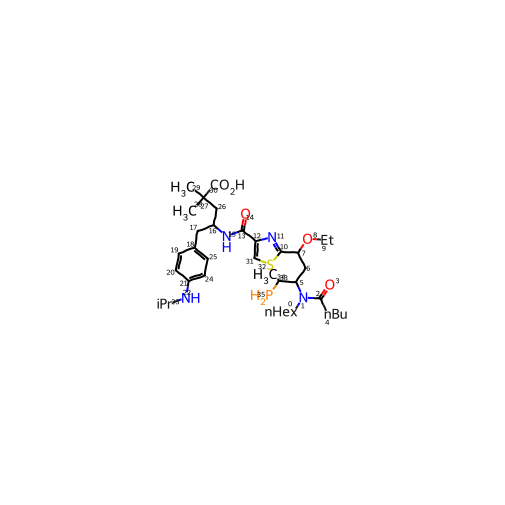 CCCCCCN(C(=O)CCCC)C(CC(OCC)c1nc(C(=O)NC(Cc2ccc(NC(C)C)cc2)CC(C)(C)C(=O)O)cs1)C(C)P